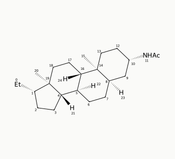 CC[C@H]1CC[C@H]2[C@@H]3CC[C@@H]4C[C@@H](NC(C)=O)CC[C@]4(C)[C@H]3CC[C@]12C